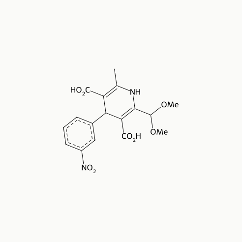 COC(OC)C1=C(C(=O)O)C(c2cccc([N+](=O)[O-])c2)C(C(=O)O)=C(C)N1